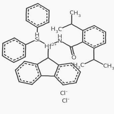 CC(C)c1cccc(C(C)C)c1C(=O)[NH][Hf+2]([CH]1c2ccccc2-c2ccccc21)[SiH](c1ccccc1)c1ccccc1.[Cl-].[Cl-]